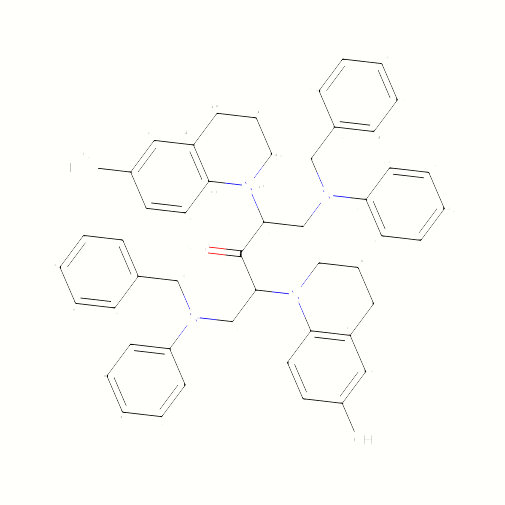 Cc1ccc2c(c1)CCCN2C(CN(Cc1ccccc1)c1ccccc1)C(=O)C(CN(Cc1ccccc1)c1ccccc1)N1CCCc2cc(C)ccc21